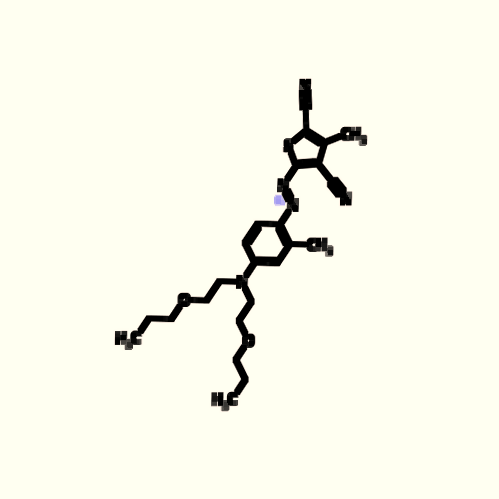 CCCOCCN(CCOCCC)c1ccc(/N=N/c2sc(C#N)c(C)c2C#N)c(C)c1